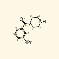 CC(C)c1cccc(C(=O)C2CCNCC2)c1